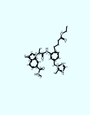 CCOC(=O)CCCc1ccc(Cn2ncnc2C)cc1NC(=O)C(C)n1cc(C)c2ccc(C(=O)NC)cc21